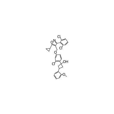 COc1ccccc1C1CC(O)(c2ccc(OCc3c(-c4c(Cl)cccc4Cl)noc3C3CC3)cc2Cl)C1